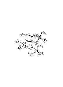 CCCCCC(N)[Si](O[Si](C)(C)C)(O[Si](C)(C)C)O[Si](C)(C)C